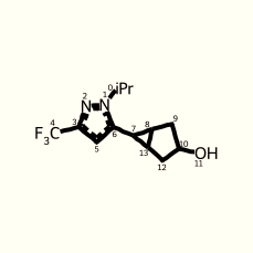 CC(C)n1nc(C(F)(F)F)cc1C1C2CC(O)CC21